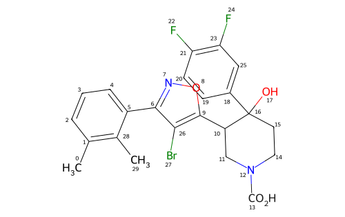 Cc1cccc(-c2noc(C3CN(C(=O)O)CCC3(O)c3ccc(F)c(F)c3)c2Br)c1C